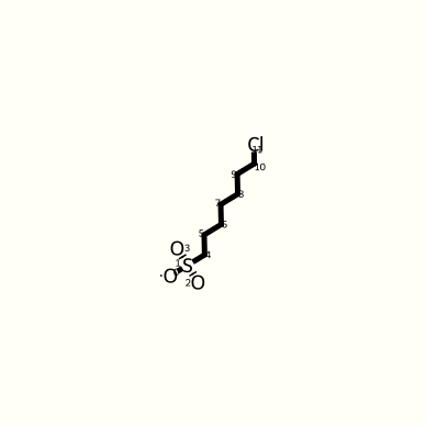 [O]S(=O)(=O)CCCCCCCCl